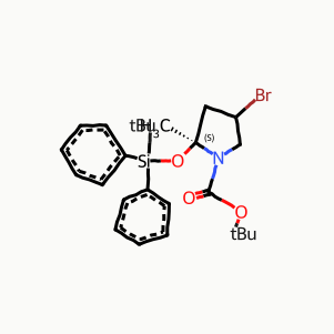 CC(C)(C)OC(=O)N1CC(Br)C[C@]1(C)O[Si](c1ccccc1)(c1ccccc1)C(C)(C)C